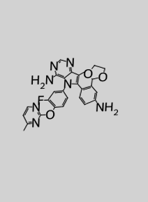 Cc1ccnc(Oc2ccc(-n3c(-c4ccc(N)cc4C4OCCO4)c(C)c4ncnc(N)c43)cc2F)n1